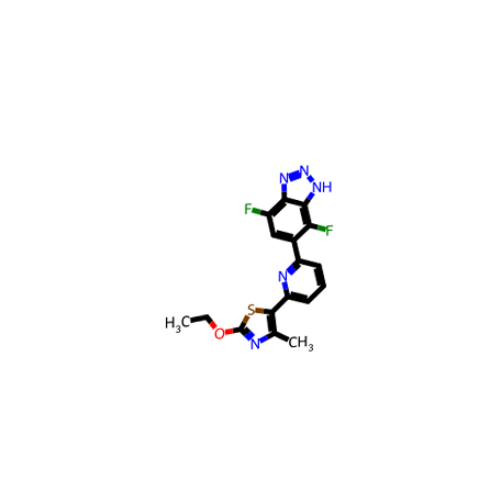 CCOc1nc(C)c(-c2cccc(-c3cc(F)c4nn[nH]c4c3F)n2)s1